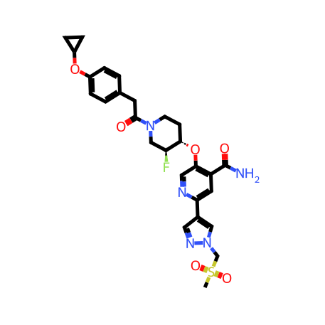 CS(=O)(=O)Cn1cc(-c2cc(C(N)=O)c(O[C@H]3CCN(C(=O)Cc4ccc(OC5CC5)cc4)C[C@@H]3F)cn2)cn1